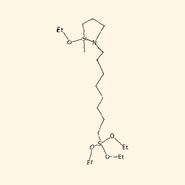 CCO[Si](CCCCCCCCN1CCC[Si]1(C)OCC)(OCC)OCC